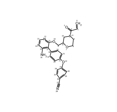 C=CC(=O)N1CCOC(COc2ncnc(N)c2-c2ccc(Oc3ccc(C#N)cc3)cc2)C1